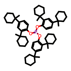 CC1(c2ccc(OP(Oc3ccc(C4(C)CCCCC4)cc3C3(C)CCCCC3)Oc3ccc(C4(C)CCCCC4)cc3C3(C)CCCCC3)c(C3(C)CCCCC3)c2)CCCCC1